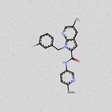 CC(=O)Nc1ccc(NC(=O)c2cc3cc(C(F)(F)F)cnc3n2Cc2cccc(F)c2)cn1